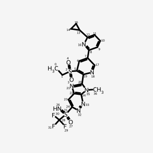 CCS(=O)(=O)c1cc(-c2cccc(C3CC3)n2)cnc1-c1nc2cc(S(=N)(=O)C(F)(F)F)nnc2n1C